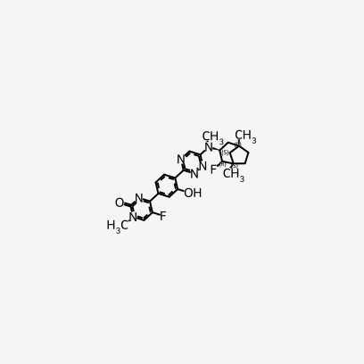 CN(c1cnc(-c2ccc(-c3nc(=O)n(C)cc3F)cc2O)nn1)[C@H]1C[C@]2(C)CC[C@@](C)(C2)[C@H]1F